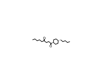 CCCCCC(=O)CCC(=O)[C@H]1CC[C@H](CCCCC)CC1